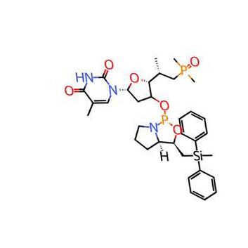 Cc1cn([C@H]2CC(OP3O[C@@H](C[Si](C)(c4ccccc4)c4ccccc4)[C@H]4CCCN43)[C@@H]([C@H](C)CP(C)(C)=O)O2)c(=O)[nH]c1=O